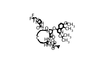 COc1ccc2c(O[C@@H]3C[C@H]4C(=O)N[C@]5(C(=O)NS(=O)(=O)C6CC6)C[C@H]5/C=C\CCCCC[C@H](NC(=O)c5ccn(CC(F)(F)F)n5)C(=O)N4C3)cc(OC(C)C)nc2c1C